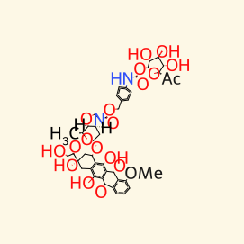 COc1cccc2c1C(=O)c1c(O)c3c(c(O)c1C2=O)C[C@@](O)(C(=O)CO)C[C@@H]3O[C@H]1C[C@H]2[C@H](OCN2C(=O)OCc2ccc(NC(=O)O[C@@H]3O[C@H](C(C)=O)[C@@H](O)[C@H](O)[C@H]3O)cc2)[C@H](C)O1